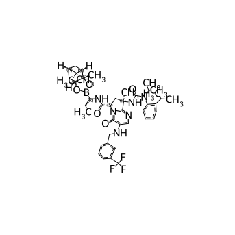 CC[C@H](NC(=O)[C@@H]1C[C@@](C)(NC(=O)N(c2ccccc2C(C)C)C(C)C)c2ncc(NCc3cccc(C(F)(F)F)c3)c(=O)n21)B1O[C@@H]2C[C@@H]3C[C@@H](C3(C)C)[C@]2(C)O1